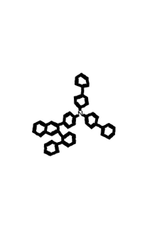 c1ccc(-c2ccc(N(c3ccc(-c4ccccc4)cc3)c3ccc(-c4cc5ccccc5cc4-c4ccccc4-c4ccccc4)cc3)cc2)cc1